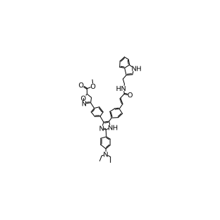 CCN(CC)c1ccc(-c2nc(-c3ccc(C4=NOC(C(=O)OC)C4)cc3)c(-c3ccc(C=CC(=O)NCCc4c[nH]c5ccccc45)cc3)[nH]2)cc1